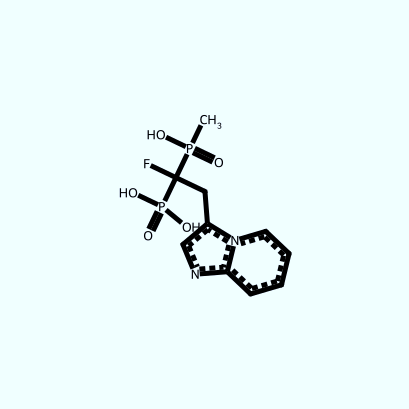 CP(=O)(O)C(F)(Cc1cnc2ccccn12)P(=O)(O)O